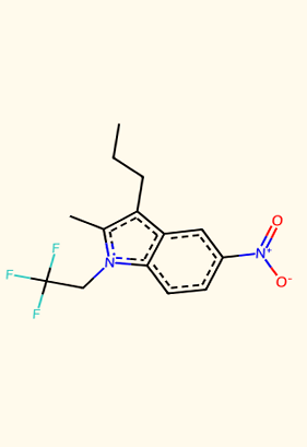 CCCc1c(C)n(CC(F)(F)F)c2ccc([N+](=O)[O-])cc12